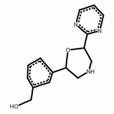 OCc1cccc(C2CNCC(c3ncccn3)O2)c1